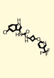 O=C(Nc1c[nH]c2ccc(Cl)cc12)NC1CC(Oc2ccc(C(F)(F)F)cn2)C1